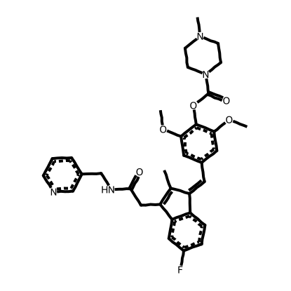 COc1cc(C=C2C(C)=C(CC(=O)NCc3cccnc3)c3cc(F)ccc32)cc(OC)c1OC(=O)N1CCN(C)CC1